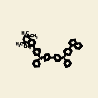 CC1(C)CCC(C)(C)c2cc(-c3ccc(N(c4ccccc4)c4ccc(-c5ccc(N(c6ccccc6)c6ccc(-c7cccc8ccccc78)cc6)cc5)cc4)cc3)ccc21